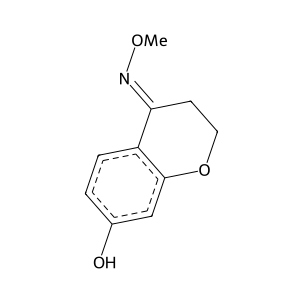 CON=C1CCOc2cc(O)ccc21